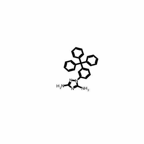 Nc1nc(N)n(-c2cccc(C(c3ccccc3)(c3ccccc3)c3ccccc3)c2)n1